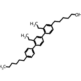 CCCCCCc1ccc(-c2ccc(-c3ccc(CCCCCO)cc3CC)cc2CC)cc1